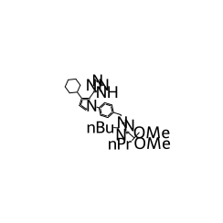 CCCCc1nc(C(CCC)(OC)OC)nn1Cc1ccc(-n2ccc(C3CCCCC3)c2-c2nnn[nH]2)cc1